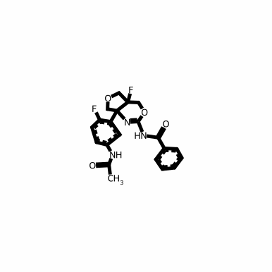 CC(=O)Nc1ccc(F)c(C23COCC2(F)COC(NC(=O)c2ccccc2)=N3)c1